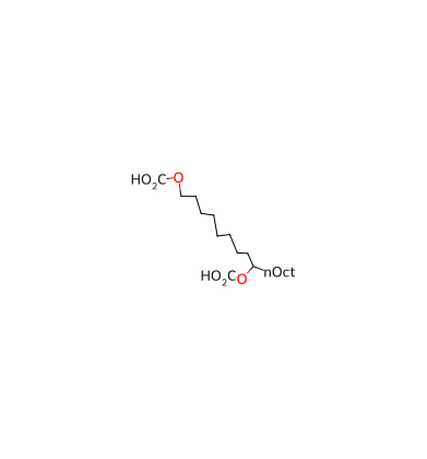 CCCCCCCCC(CCCCCCCCOC(=O)O)OC(=O)O